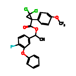 N#CC(OC(=O)C1(c2ccc(OC(F)(F)F)cc2)CC1(Cl)Cl)c1ccc(F)c(Oc2ccccc2)c1